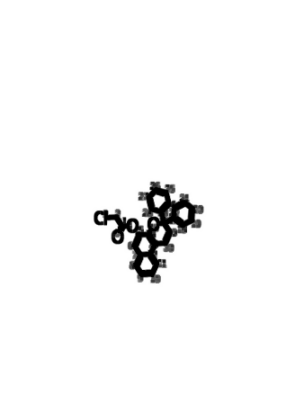 O=C(CCl)Oc1cc2ccccc2c2c1OC(c1ccccc1)(c1ccccc1)C=C2